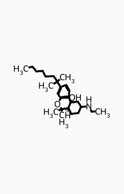 CCCCCCC(C)(C)c1ccc2c(c1)OC(C)(C)[C@@H]1CCC(NCC)C[C@@]21O